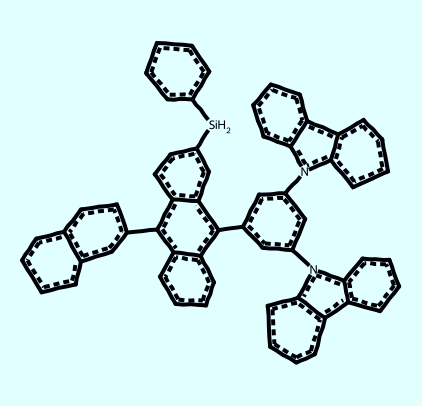 c1ccc([SiH2]c2ccc3c(-c4ccc5ccccc5c4)c4ccccc4c(-c4cc(-n5c6ccccc6c6ccccc65)cc(-n5c6ccccc6c6ccccc65)c4)c3c2)cc1